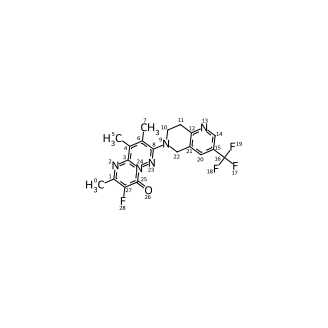 Cc1nc2c(C)c(C)c(N3CCc4ncc(C(F)(F)F)cc4C3)nn2c(=O)c1F